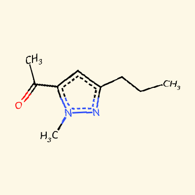 CCCc1cc(C(C)=O)n(C)n1